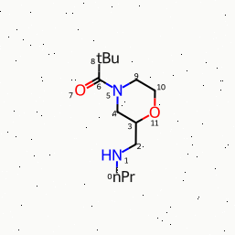 CCCNCC1CN(C(=O)C(C)(C)C)CCO1